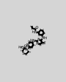 C=CC(=O)Nc1cccc(Nc2nc(Nc3ccc(N4CCSCC4(O)O)nc3)ncc2F)c1